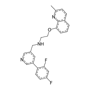 Cc1ccc2cccc(OCCNCc3cncc(-c4ccc(F)cc4F)c3)c2n1